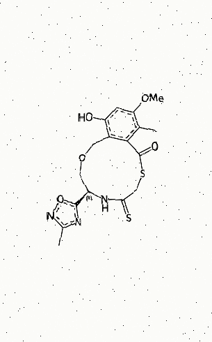 COc1cc(O)c2c(c1C)C(=O)SCC(=S)N[C@@H](c1nc(C)no1)COC2